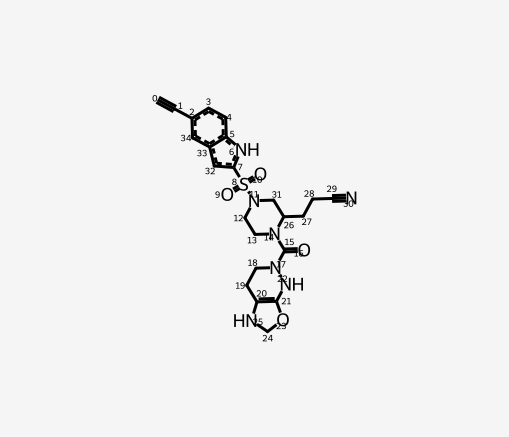 C#Cc1ccc2[nH]c(S(=O)(=O)N3CCN(C(=O)N4CCC5=C(N4)OCN5)C(CCC#N)C3)cc2c1